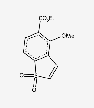 CCOC(=O)c1ccc2c(c1OC)C=CS2(=O)=O